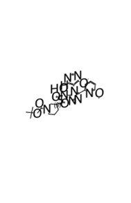 COC1=NC(c2nnc(NS(=O)(=O)[C@H]3CCCN(C(=O)OC(C)(C)C)C3)n2-c2c(O)ncnc2OC)=C=C=C1